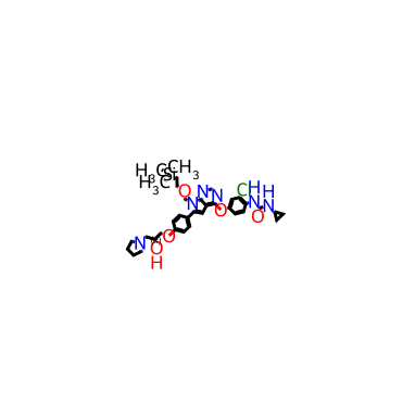 C[Si](C)(C)CCOCn1c(-c2ccc(OC[C@H](O)CN3CCCC3)cc2)cc2c(Oc3ccc(NC(=O)NC4CC4)c(Cl)c3)ncnc21